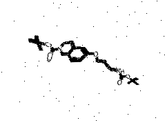 CC(C)(C)OC(=O)NCCCOc1ccc2c(c1)CCN(C(=O)OC(C)(C)C)C2